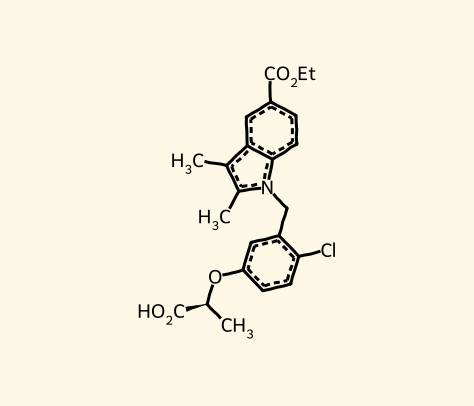 CCOC(=O)c1ccc2c(c1)c(C)c(C)n2Cc1cc(O[C@@H](C)C(=O)O)ccc1Cl